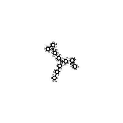 c1ccc(-c2ccc(-c3ccc(N(c4ccc(-c5ccc(-n6c7ccccc7c7ccccc76)cc5)cc4)c4ccc(-c5cccc6c5sc5ccccc56)cc4)cc3)cc2)cc1